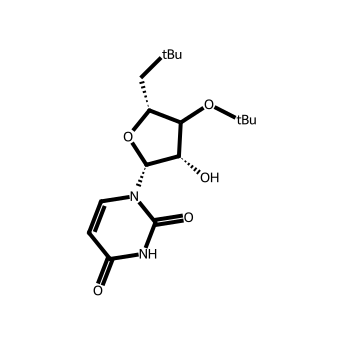 CC(C)(C)C[C@H]1O[C@@H](n2ccc(=O)[nH]c2=O)[C@@H](O)C1OC(C)(C)C